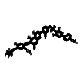 Cc1ccc(-c2cc(F)c(C(F)(F)Oc3ccc(-c4cc(F)c5c(F)c(C#Cc6cc(F)c(C#CS(F)(F)(F)(F)F)cc6C)c(F)cc5c4)c(F)c3)c(F)c2)nc1